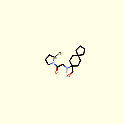 N#C[C@@H]1CCCN1C(=O)CNC1(CO)CCC2(CCCC2)CC1